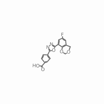 O=C(O)c1ccc(-c2nnc(-c3cc(F)cc4c3OCOC4)o2)cc1